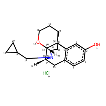 Cl.Oc1ccc2c(c1)[C@@]13CCCO[C@H]1[C@@H](C2)N(CC1CC1)CC3